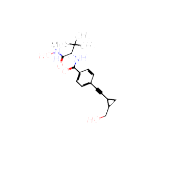 CSC(C)(C)[C@H](NC(=O)c1ccc(C#CC2CC2CO)cc1)C(=O)NO